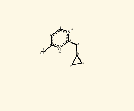 Clc1c[c]nc(CC2CC2)n1